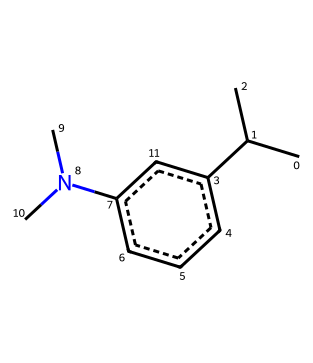 CC(C)c1cccc(N(C)C)c1